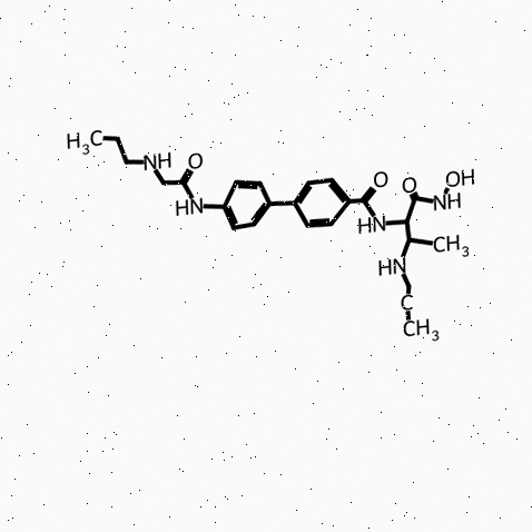 CCCNCC(=O)Nc1ccc(-c2ccc(C(=O)NC(C(=O)NO)C(C)NCCC)cc2)cc1